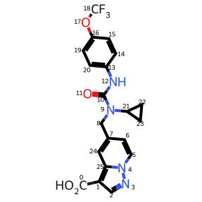 O=C(O)c1cnn2ccc(CN(C(=O)Nc3ccc(OC(F)(F)F)cc3)C3CC3)cc12